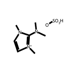 CN(C)c1n(C)cc[n+]1C.O=S(=O)([O-])O